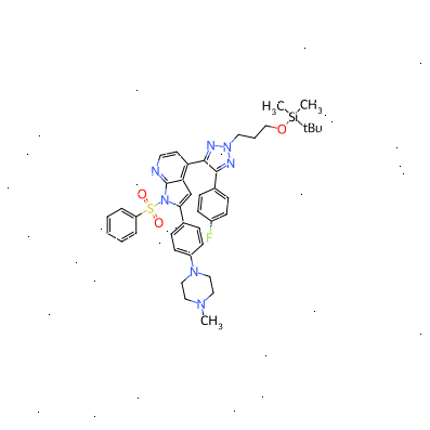 CN1CCN(c2ccc(-c3cc4c(-c5nn(CCCO[Si](C)(C)C(C)(C)C)nc5-c5ccc(F)cc5)ccnc4n3S(=O)(=O)c3ccccc3)cc2)CC1